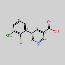 O=C(O)c1cncc(-c2cccc(Cl)c2F)c1